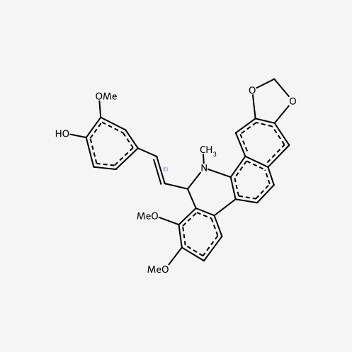 COc1cc(/C=C/C2c3c(ccc(OC)c3OC)-c3ccc4cc5c(cc4c3N2C)OCO5)ccc1O